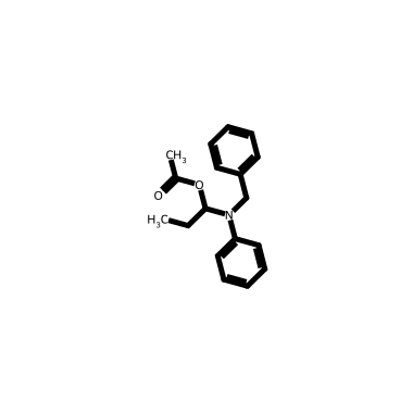 CCC(OC(C)=O)N(Cc1ccccc1)c1ccccc1